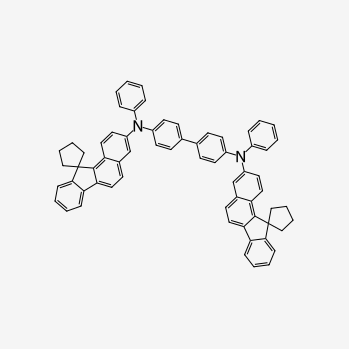 c1ccc(N(c2ccc(-c3ccc(N(c4ccccc4)c4ccc5c6c(ccc5c4)-c4ccccc4C64CCCC4)cc3)cc2)c2ccc3c4c(ccc3c2)-c2ccccc2C42CCCC2)cc1